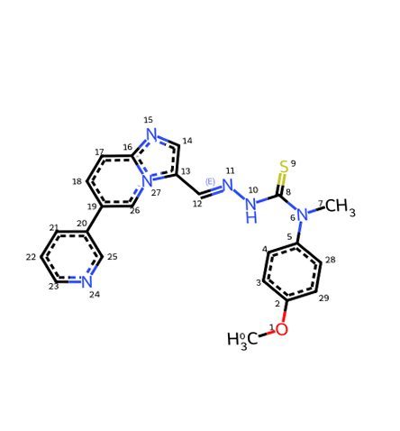 COc1ccc(N(C)C(=S)N/N=C/c2cnc3ccc(-c4cccnc4)cn23)cc1